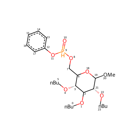 CCCCOC1[C@H](OCCCC)C(CO[PH](=O)Oc2ccccc2)OC(OC)[C@@H]1OCCCC